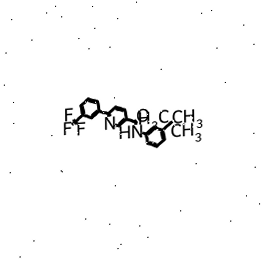 CC(C)(C)c1cccc(NC(=O)c2ccc(-c3cccc(C(F)(F)F)c3)nc2)c1